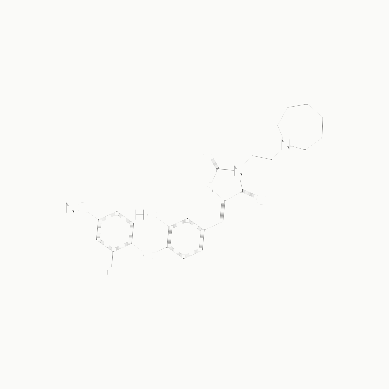 N#Cc1ccc(Oc2ccc(/C=C3\SC(=O)N(CCN4CCCCCC4)C3=O)cc2O)c(C(F)(F)F)c1